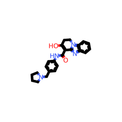 O=C(Nc1ccc(CN2CCCC2)cc1)C1=C(O)CCn2c1nc1ccccc12